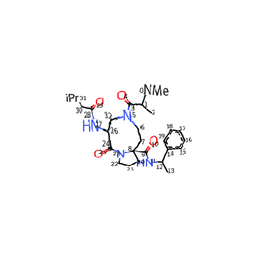 CNC(C)C(=O)N1CCC2(C(=O)NC(C)c3ccccc3)CCCN2C(=O)C(NC(=O)CC(C)C)C1